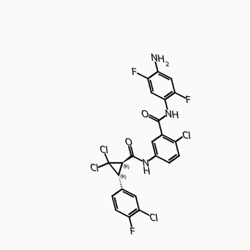 Nc1cc(F)c(NC(=O)c2cc(NC(=O)[C@H]3[C@H](c4ccc(F)c(Cl)c4)C3(Cl)Cl)ccc2Cl)cc1F